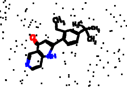 CCc1cc(C(C)(C)C)ccc1-c1cc(=O)c2cnccc2[nH]1